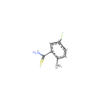 NC(=S)c1cc(F)ccc1[N+](=O)[O-]